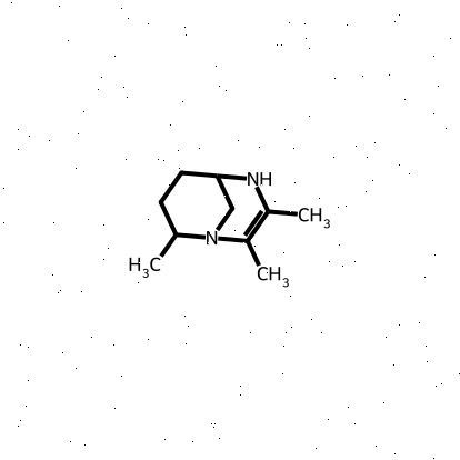 CC1=C(C)N2CC(CCC2C)N1